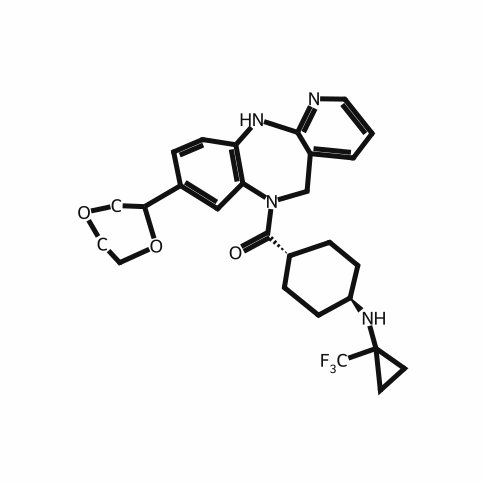 O=C([C@H]1CC[C@H](NC2(C(F)(F)F)CC2)CC1)N1Cc2cccnc2Nc2ccc(C3COCCO3)cc21